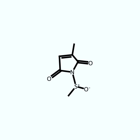 CC1=CC(=O)N([S+](C)[O-])C1=O